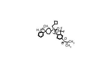 CN(C)S(=O)(=O)c1ccc(N2C[C@]3(CC[C@](c4ccccc4)(N(C)C)CC3)N(CC3CCC3)C2=O)c(C(F)(F)P)c1